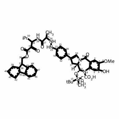 COc1cc2c(cc1O)N(C(=O)O)[C@@H](O[Si](C)(C)C(C)(C)C)[C@@H]1CC(c3ccc(NNC(C)C(=O)NC(C(=O)C(=O)OCC4c5ccccc5-c5ccccc54)C(C)C)cc3)=CN1C2=O